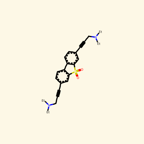 CCN(CC)CC#Cc1ccc2c(c1)S(=O)(=O)c1cc(C#CCN(CC)CC)ccc1-2